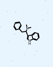 CN(C)C(Cc1ccccc1)c1c[nH]c2ccccc12